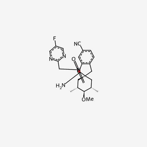 CO[C@H]1[C@H](C)C[C@@]2(Cc3ccc(C#N)cc3C23N=C(N)N(Cc2ncc(F)cn2)C3=O)C[C@@H]1C